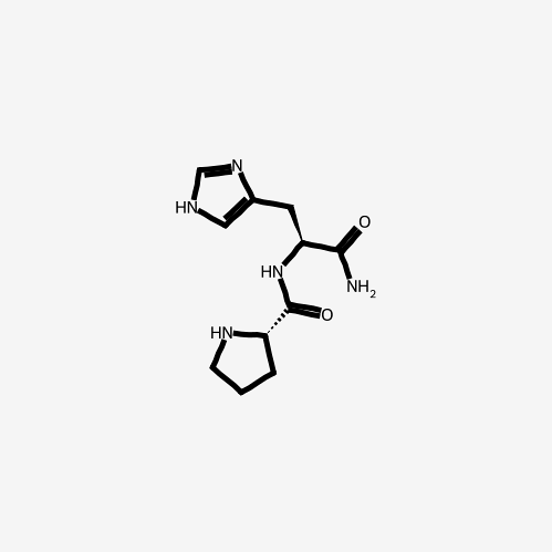 NC(=O)[C@H](Cc1c[nH]cn1)NC(=O)[C@@H]1CCCN1